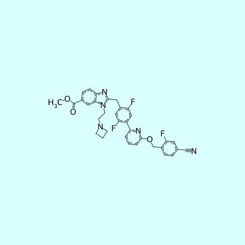 COC(=O)c1ccc2nc(Cc3cc(F)c(-c4cccc(OCc5ccc(C#N)cc5F)n4)cc3F)n(CCN3CCC3)c2c1